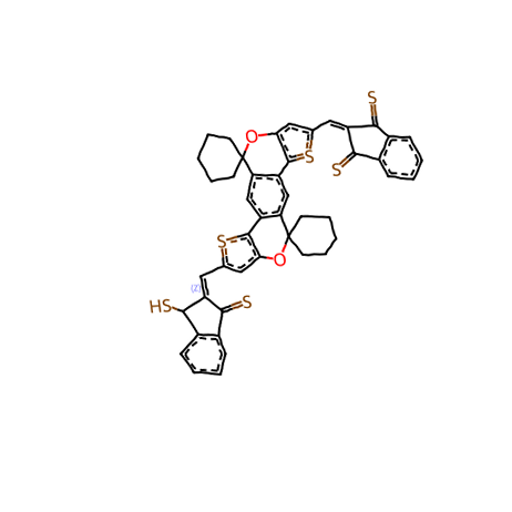 S=C1C(=Cc2cc3c(s2)-c2cc4c(cc2C2(CCCCC2)O3)-c2sc(/C=C3\C(=S)c5ccccc5C3S)cc2OC42CCCCC2)C(=S)c2ccccc21